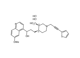 COc1ccc2nccc(C(O)CC[C@@H]3CCN(CC#Cc4cccs4)C[C@@H]3C(=O)O)c2c1.Cl.Cl